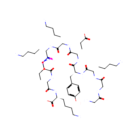 C[C@H](N)C(=O)N[C@@H](C)C(=O)N[C@@H](CCCCN)C(=O)N[C@@H](Cc1ccc(O)cc1)C(=O)N[C@@H](CCC(=O)O)C(=O)N[C@@H](CCCCN)C(=O)N[C@@H](CCCCN)C(=O)N[C@@H](C)C(=O)N[C@@H](CCCCN)C(=O)N[C@@H](CCCCN)C(=O)O